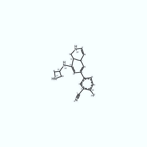 N#Cc1cc(C2=CC3C=CNCC3C(NC3CNC3)=C2)ccc1F